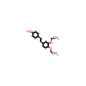 CCOc1ccc(C=Cc2ccc(O)cc2)cc1OCC